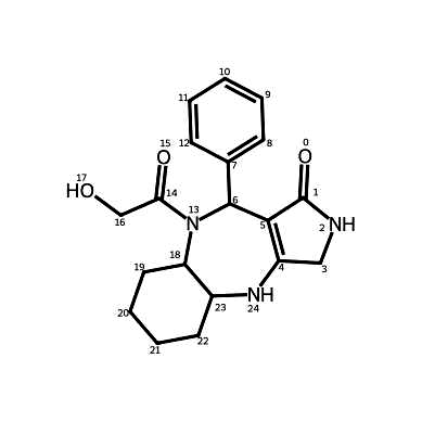 O=C1NCC2=C1C(c1ccccc1)N(C(=O)CO)C1CCCCC1N2